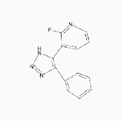 Fc1ncccc1C1=C(c2ccccc2)N=[N+]N1